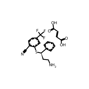 N#Cc1ccc(C(F)(F)F)cc1S[C@H](CCN)c1ccccc1.O=C(O)/C=C/C(=O)O